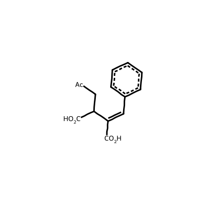 CC(=O)CC(C(=O)O)C(=Cc1ccccc1)C(=O)O